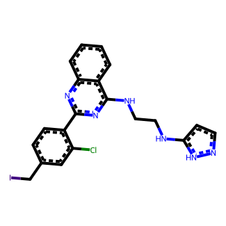 Clc1cc(CI)ccc1-c1nc(NCCNc2ccn[nH]2)c2ccccc2n1